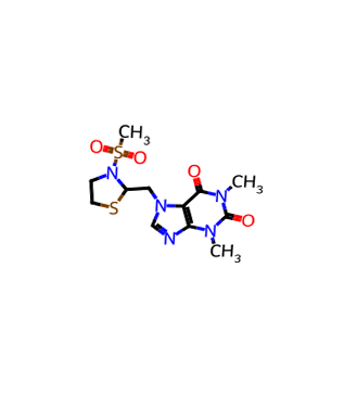 Cn1c(=O)c2c(ncn2CC2SCCN2S(C)(=O)=O)n(C)c1=O